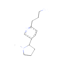 CN1CCCC1c1ccc(CCCN)nc1